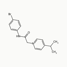 CC(C)c1cc[n+](CC(=O)Nc2ccc(Br)cc2)cc1